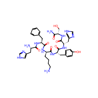 NCCCC[C@@H](NC(=O)[C@H](Cc1ccccc1)NC(=O)[C@@H](N)Cc1c[nH]cn1)C(=O)N[C@@H](Cc1ccc(O)cc1)C(=O)N[C@@H](Cc1c[nH]cn1)C(=O)N[C@@H](CO)C(N)=O